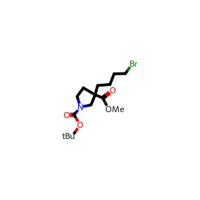 COC(=O)C1(CCCCBr)CCN(C(=O)OC(C)(C)C)C1